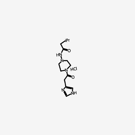 CC(C)CC(=O)NN1CCN(C(=O)Cc2c[nH]cn2)CC1.Cl